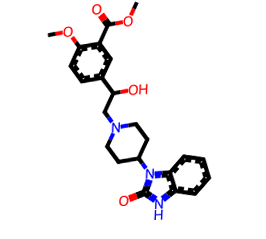 COC(=O)c1cc(C(O)CN2CCC(n3c(=O)[nH]c4ccccc43)CC2)ccc1OC